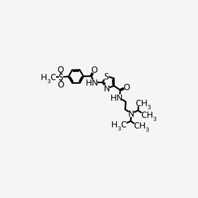 CC(C)N(CCNC(=O)c1csc(NC(=O)c2ccc(S(C)(=O)=O)cc2)n1)C(C)C